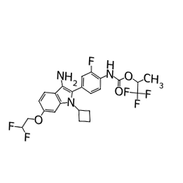 CC(OC(=O)Nc1ccc(-c2c(N)c3ccc(OCC(F)F)cc3n2C2CCC2)cc1F)C(F)(F)F